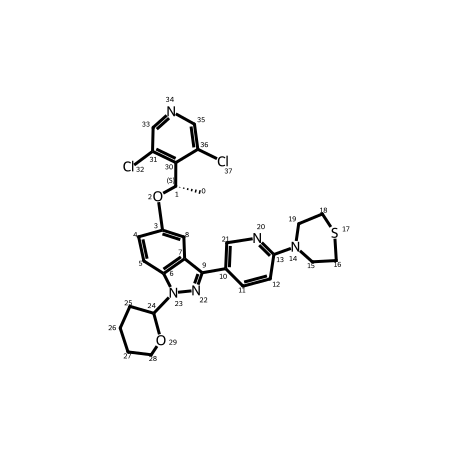 C[C@H](Oc1ccc2c(c1)c(-c1ccc(N3CCSCC3)nc1)nn2C1CCCCO1)c1c(Cl)cncc1Cl